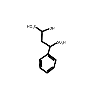 O=S(=O)(O)C(O)CC(c1ccccc1)S(=O)(=O)O